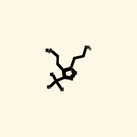 CCCc1c(C(Cl)(Cl)Cl)nnn1CCC